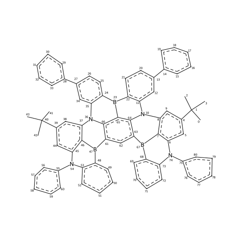 CC(C)(C)c1cc2c3c(c1)N1c4cc(-c5ccccc5)ccc4B4c5ccc(-c6ccccc6)cc5N5c6cc(C(C)(C)C)cc7c6B(c6ccccc6N7c6ccccc6)c6cc(c1c4c65)B3c1ccccc1N2c1ccccc1